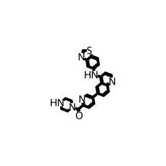 O=C(c1ccc(-c2ccc3nccc(Nc4ccc5scnc5c4)c3c2)cn1)N1CCNCC1